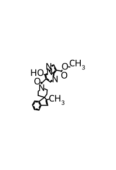 CCOC(=O)c1cnn2c(O)c(C(=O)N3CCC4(CC3)C(C)=Cc3ccccc34)cnc12